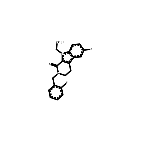 O=C(O)Cn1c2c(c3cc(F)ccc31)CCN(Cc1ccccc1F)C2=S